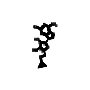 Nc1nc(Cl)nc2c1ncn2[C@@H]1O[C@H](COC2CC2)[C@@H](O)[C@H]1O